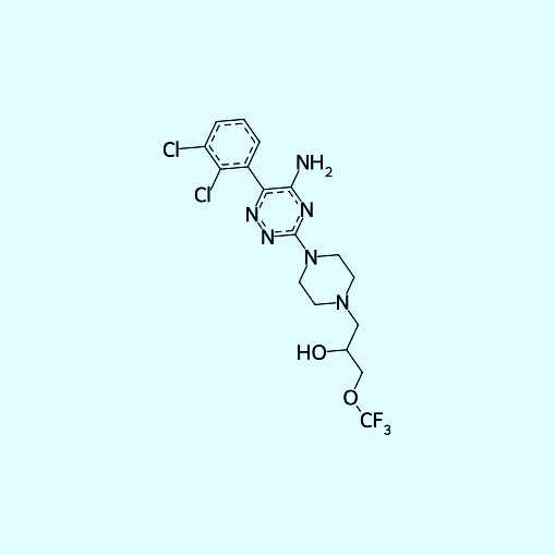 Nc1nc(N2CCN(CC(O)COC(F)(F)F)CC2)nnc1-c1cccc(Cl)c1Cl